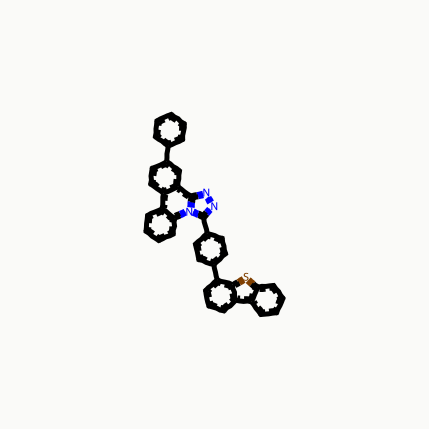 c1ccc(-c2ccc3c4ccccc4n4c(-c5ccc(-c6cccc7c6sc6ccccc67)cc5)nnc4c3c2)cc1